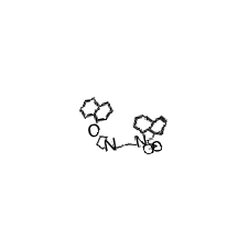 O=S1(=O)c2cccc3cccc(c23)N1CCCN1CCC(Oc2cccc3ccccc23)C1